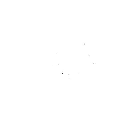 CCCO[C@]1(C=O)/C=C/C[C@H](C)[C@@H](C)S(=O)(=O)NC(=O)c2ccc3c(c2)N(CCCCc2cc(Cl)ccc2CO3)C[C@@H]2CC[C@H]21